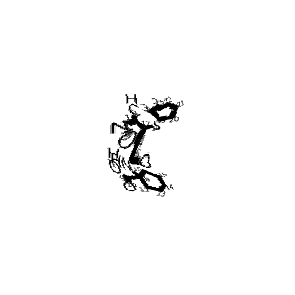 Cc1noc(C(=O)NC2(C(=O)O)CCCCC2)c1Sc1ccccc1